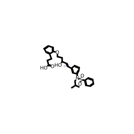 CC(C)CN(c1cccc(/C=C/C(O)CCOc2ccccc2CCC(=O)O)c1)S(=O)(=O)c1ccccc1